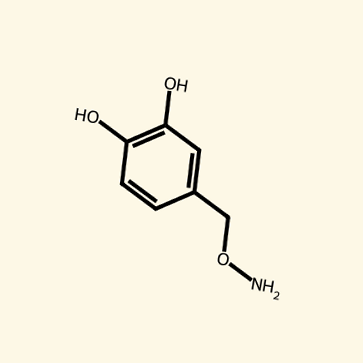 NOCc1ccc(O)c(O)c1